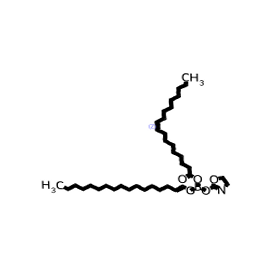 CCCCCCCC/C=C\CCCCCCCC(=O)OB(OC=CCCCCCCCCCCCCCCC)OC1=NCCO1